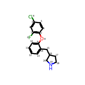 Fc1cc(Cl)ccc1Oc1ccccc1CC1CCNC1